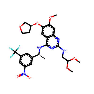 COc1cc2nc(NCC(OC)OC)nc(N[C@H](C)c3cc([N+](=O)[O-])cc(C(F)(F)F)c3)c2cc1O[C@H]1CCOC1